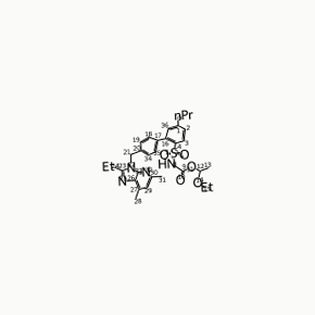 CCCc1ccc(S(=O)(=O)NC(=O)OC(C)OCC)c(-c2ccc(Cn3c(CC)nc4c(C)cc(C)nc43)cc2)c1